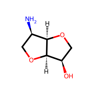 N[C@@H]1CO[C@H]2[C@@H]1OC[C@H]2O